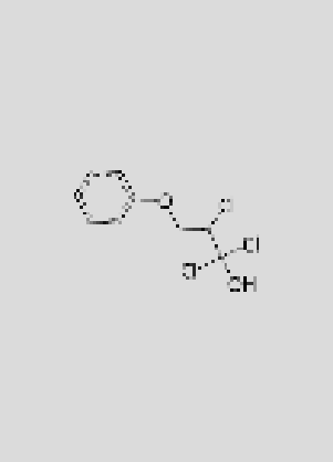 OC(Cl)(Cl)C(Cl)COc1ccccc1